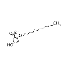 CCCCCCCCCCCCCCOc1ccc(O)cc1[N+](=O)[O-]